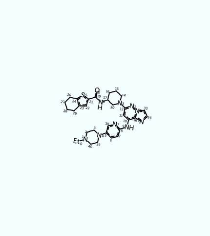 CCN1CCN(c2ccc(Nc3cc(N4CCC[C@H](NC(=O)c5cc6c(s5)CCCC6)C4)nn4ccnc34)nc2)CC1